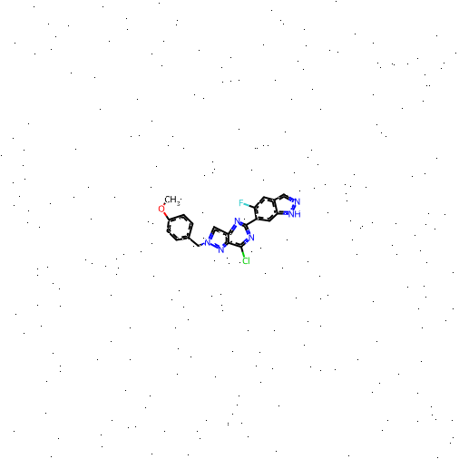 COc1ccc(Cn2cc3nc(-c4cc5[nH]ncc5cc4F)nc(Cl)c3n2)cc1